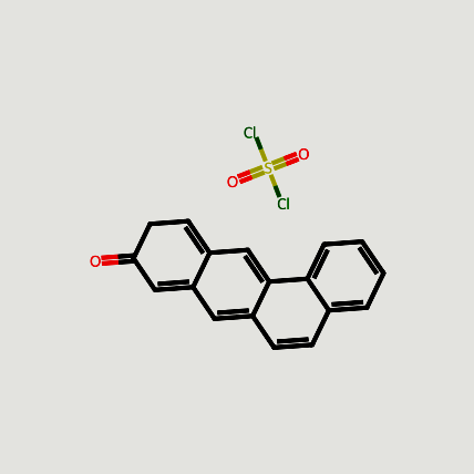 O=C1C=c2cc3ccc4ccccc4c3cc2=CC1.O=S(=O)(Cl)Cl